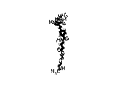 CNCCOCCOC(=O)CCCNC(=O)c1ccc(CCc2c[nH]c3nc(N)[nH]c(=O)c23)cc1